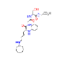 O=C(O)CNC(=O)C(CO)NC(=O)CNC(=O)C(CCCCNC1CCCCCC1)NC1CCCCC1